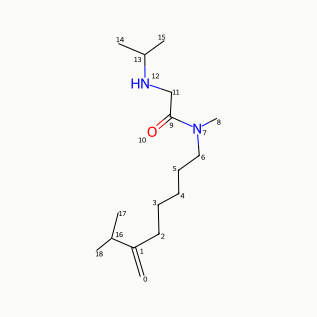 C=C(CCCCCN(C)C(=O)CNC(C)C)C(C)C